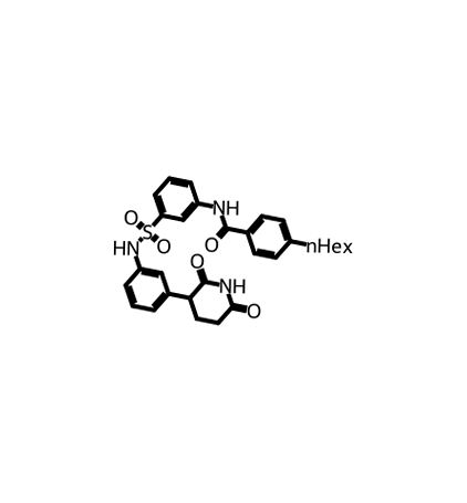 CCCCCCc1ccc(C(=O)Nc2cccc(S(=O)(=O)Nc3cccc(C4CCC(=O)NC4=O)c3)c2)cc1